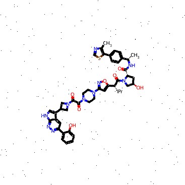 Cc1ncsc1-c1ccc([C@H](C)NC(=O)[C@@H]2C[C@@H](O)CN2C(=O)[C@@H](c2cc(N3CCN(C(=O)C(=O)N4CC(c5c[nH]c6nnc(-c7ccccc7O)cc56)C4)CC3)no2)C(C)C)cc1